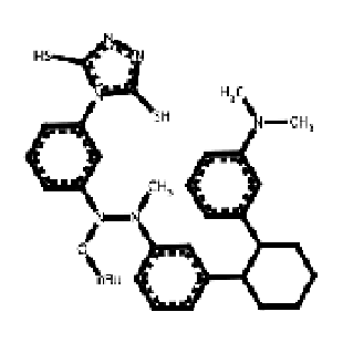 CCCCON(c1cccc(-n2c(S)nnc2S)c1)N(C)c1cccc(C2CCCCC2c2cccc(N(C)C)c2)c1